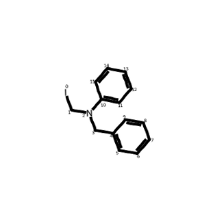 ICN(Cc1ccccc1)c1ccccc1